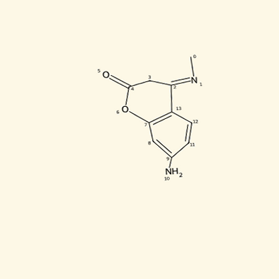 CN=C1CC(=O)Oc2cc(N)ccc21